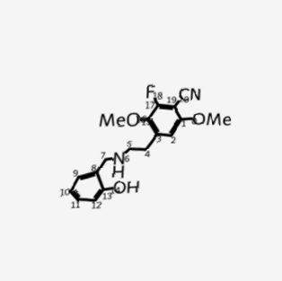 COc1cc(CCNCc2ccccc2O)c(OC)c(F)c1C#N